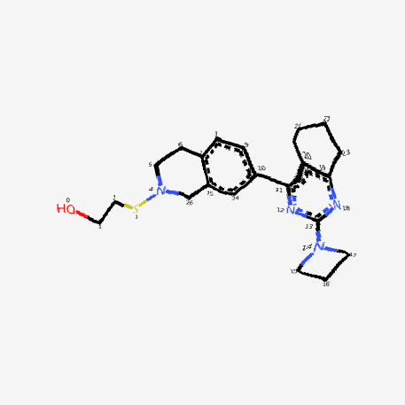 OCCSN1CCc2ccc(-c3nc(N4CCC4)nc4c3CCC4)cc2C1